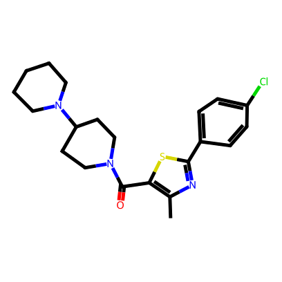 Cc1nc(-c2ccc(Cl)cc2)sc1C(=O)N1CCC(N2CCCCC2)CC1